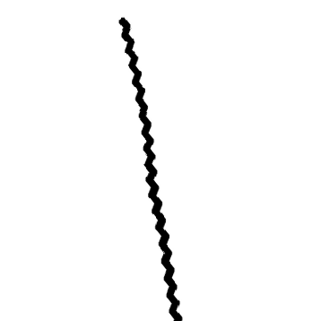 CCCCCCCCCCCCCCCCCCCCCCCCCCCCCCCCCCCCCCCC